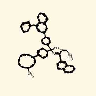 Cc1ccccccc(-c2ccc(C(C)(/N=C(\N=C/N)c3ccc4ccccc4c3)c3ccc(-c4cc(-c5ccccc5)c5ccccc5c4)cc3)cc2)cc1